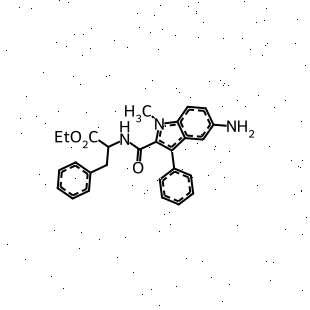 CCOC(=O)C(Cc1ccccc1)NC(=O)c1c(-c2ccccc2)c2cc(N)ccc2n1C